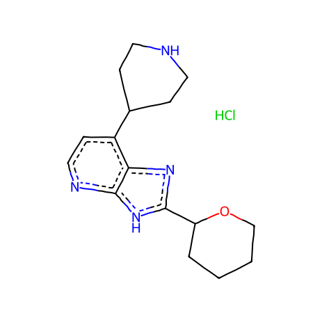 Cl.c1cc(C2CCNCC2)c2nc(C3CCCCO3)[nH]c2n1